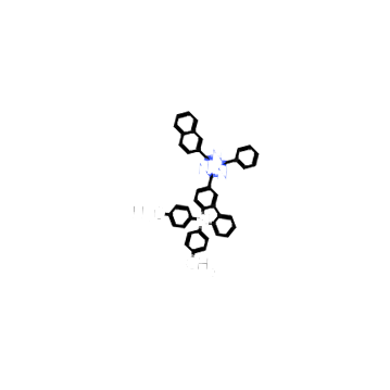 Cc1ccc([Si]2(c3ccc(C)cc3)c3ccccc3-c3cc(-c4nc(-c5ccccc5)nc(-c5ccc6ccccc6c5)n4)ccc32)cc1